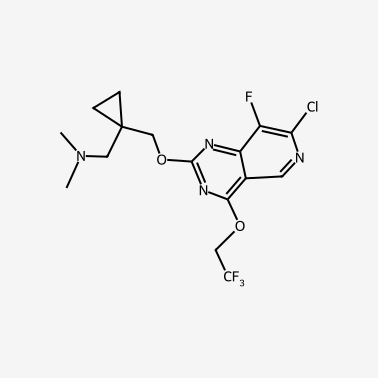 CN(C)CC1(COc2nc(OCC(F)(F)F)c3cnc(Cl)c(F)c3n2)CC1